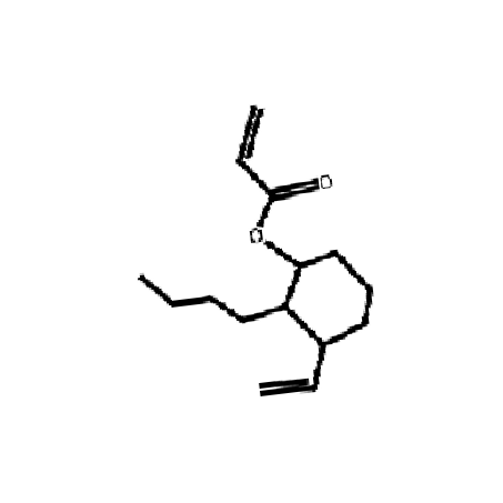 C=CC(=O)OC1CCCC(C=C)C1CCCC